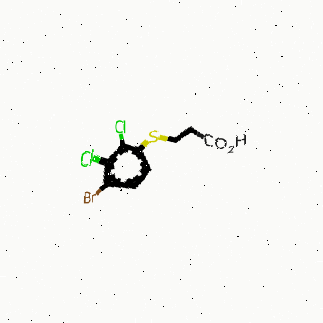 O=C(O)CCSc1ccc(Br)c(Cl)c1Cl